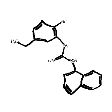 CCc1ccc(Br)c(NC(=N)Nc2cccc3ccccc23)c1